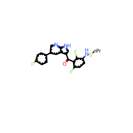 CCCSNc1ccc(F)c(C(=O)c2c[nH]c3ncc(-c4ccc(F)cc4)cc23)c1F